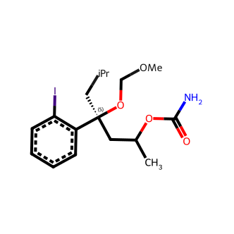 COCO[C@@](CC(C)C)(CC(C)OC(N)=O)c1ccccc1I